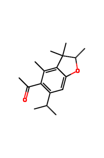 CC(=O)c1c(C(C)C)cc2c(c1C)C(C)(C)C(C)O2